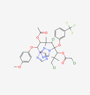 COc1ccc(OC(C(OC(C)=O)C(C)(C)C(Cl)C(Oc2cccc(C(F)(F)F)c2)(C(OC(=O)CCl)C(C)(C)CCl)n2cncn2)n2cncn2)cc1